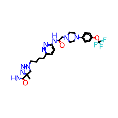 CNC(=O)C1(C)CN(CCCCc2ccc(NC(=O)CN3CCN(c4ccc(OC(F)(F)F)cc4)CC3)nn2)N=N1